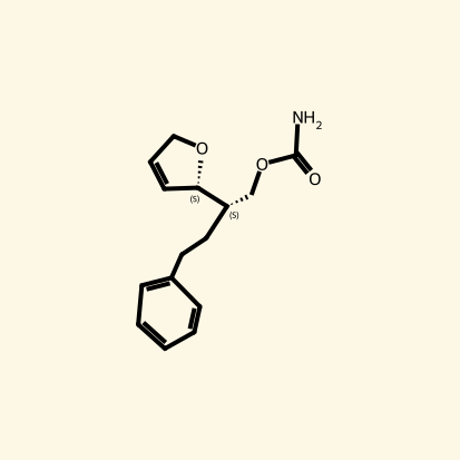 NC(=O)OC[C@H](CCc1ccccc1)[C@@H]1C=CCO1